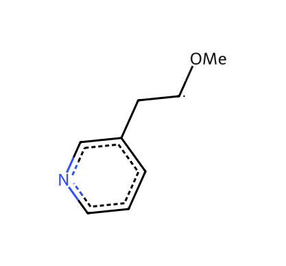 CO[CH]Cc1cccnc1